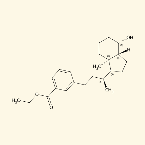 CCOC(=O)c1cccc(CC[C@H](C)[C@H]2CC[C@H]3[C@@H](O)CCC[C@]23C)c1